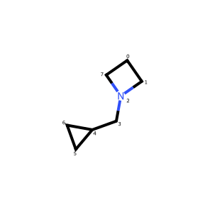 [CH]1CN(CC2CC2)C1